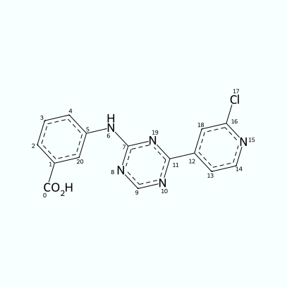 O=C(O)c1cccc(Nc2ncnc(-c3ccnc(Cl)c3)n2)c1